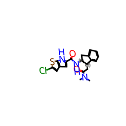 CN(C)C(=O)C[C@@H]1c2ccccc2C[C@H]1NC(=O)c1cc2cc(Cl)sc2[nH]1